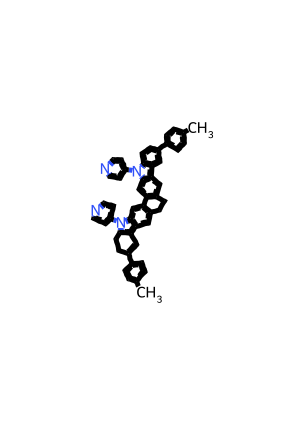 Cc1ccc(C2=Cc3c(n(-c4ccncc4)c4cc5c(cc34)CCc3cc4c6cc(-c7ccc(C)cc7)ccc6n(-c6ccncc6)c4cc3-5)CC2)cc1